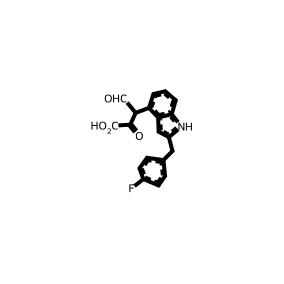 O=CC(C(=O)C(=O)O)c1cccc2[nH]c(Cc3ccc(F)cc3)cc12